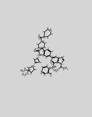 CC(C)n1cnc2cc(-c3ccc4c(c3)N([C@H]3C[C@@H](N5CCC(C)(C)C5)C3)C(=O)C43CCN(C(=O)C4CCOCC4)CC3)nc(Nc3ccncc3F)c21